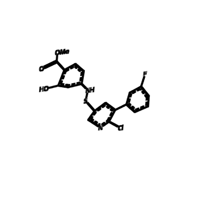 COC(=O)c1ccc(NSc2cnc(Cl)c(-c3cccc(F)c3)c2)cc1O